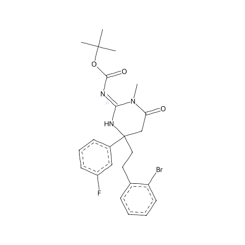 CN1C(=O)CC(CCc2ccccc2Br)(c2cccc(F)c2)N/C1=N/C(=O)OC(C)(C)C